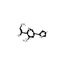 C/C=C(/Cl)c1ncc(-c2cccs2)cc1C